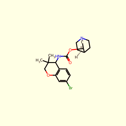 CC1(C)COc2cc(Br)ccc2C1NC(=O)O[C@H]1CN2CCC1CC2